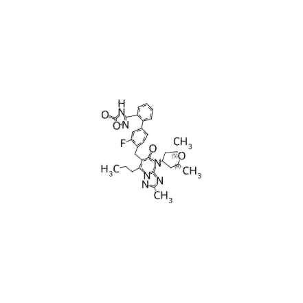 CCCc1c(Cc2ccc(-c3ccccc3-c3noc(=O)[nH]3)cc2F)c(=O)n(C2C[C@@H](C)O[C@@H](C)C2)c2nc(C)nn12